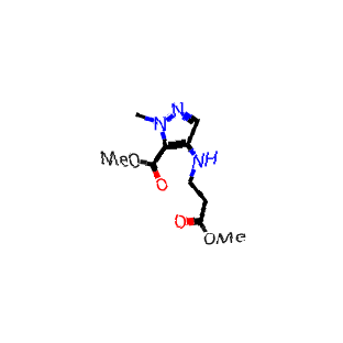 COC(=O)CCNc1cnn(C)c1C(=O)OC